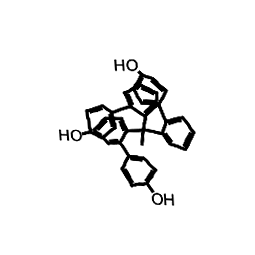 CC(c1ccccc1-c1ccc(O)cc1)(c1ccccc1-c1ccc(O)cc1)c1ccccc1-c1ccc(O)cc1